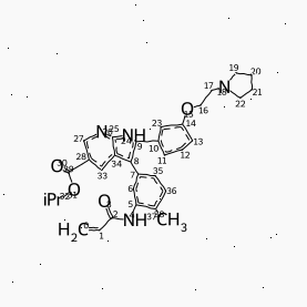 C=CC(=O)Nc1cc(-c2c(-c3cccc(OCCN4CCCC4)c3)[nH]c3ncc(C(=O)OC(C)C)cc23)ccc1C